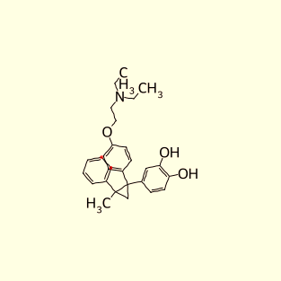 CCN(CC)CCOc1ccc(C2(c3ccc(O)c(O)c3)CC2(C)c2ccccc2)cc1